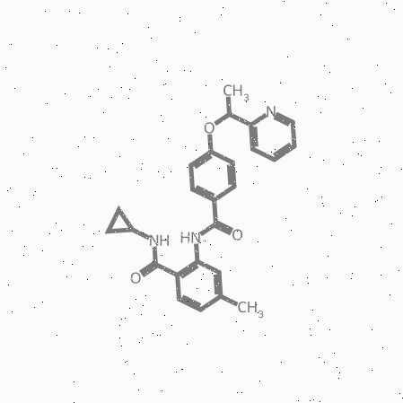 Cc1ccc(C(=O)NC2CC2)c(NC(=O)c2ccc(OC(C)c3ccccn3)cc2)c1